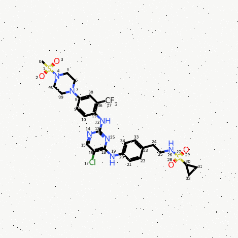 CS(=O)(=O)N1CCN(c2ccc(Nc3ncc(Cl)c(Nc4ccc(CCNS(=O)(=O)C5CC5)cc4)n3)c(C(F)(F)F)c2)CC1